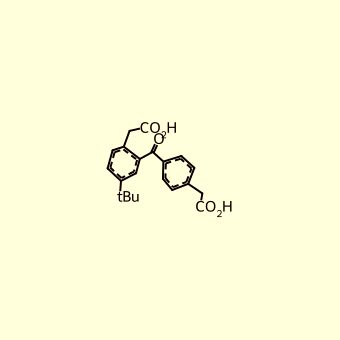 CC(C)(C)c1ccc(CC(=O)O)c(C(=O)c2ccc(CC(=O)O)cc2)c1